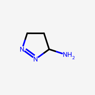 NC1CCN=N1